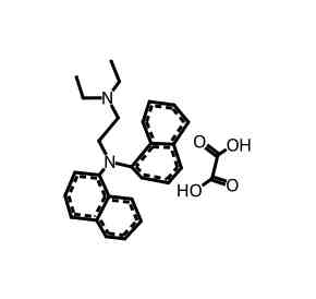 CCN(CC)CCN(c1cccc2ccccc12)c1cccc2ccccc12.O=C(O)C(=O)O